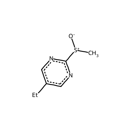 CCc1cnc([S+](C)[O-])nc1